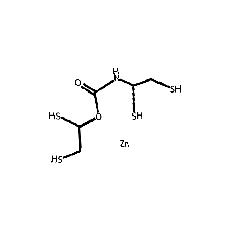 O=C(NC(S)CS)OC(S)CS.[Zn]